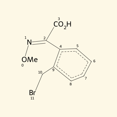 CO/N=C(/C(=O)O)c1ccccc1CBr